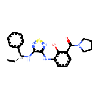 CC[C@@H](Nc1nsnc1Nc1cccc(C(=O)N2CCCC2)c1O)c1ccccc1